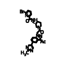 CC(=O)c1nn(CC(=O)N2CCC[C@@H](CNC(=O)c3cccc(Br)n3)C2)c2ccc(-c3cnc(C)nc3)cc12